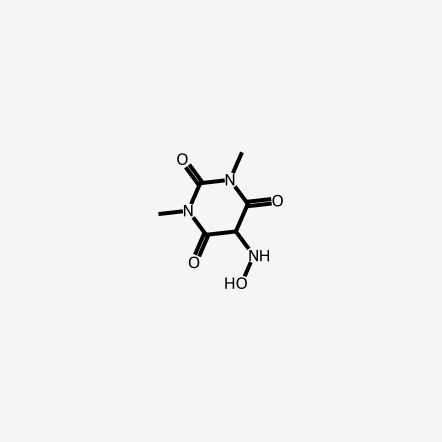 CN1C(=O)C(NO)C(=O)N(C)C1=O